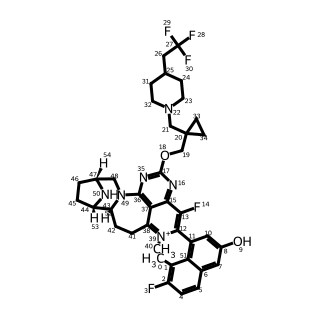 Cc1c(F)ccc2cc(O)cc(-c3c(F)c4nc(OCC5(CN6CCC(CC(F)(F)F)CC6)CC5)nc5c4c([n+]3C)CC[C@@H]3[C@@H]4CC[C@H](CN53)N4)c12